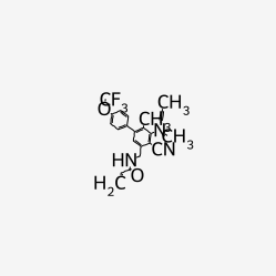 C=CC(=O)NCc1cc(-c2ccc(OC(F)(F)F)cc2)c(C)c(N(C)C#CC)c1C#N